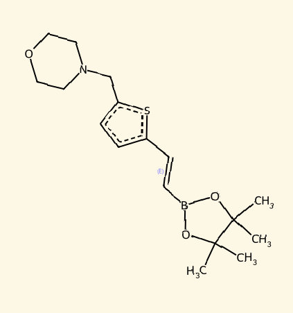 CC1(C)OB(/C=C/c2ccc(CN3CCOCC3)s2)OC1(C)C